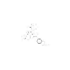 CCC(C(=O)C(C)(C(=O)NC(N)=O)C1CCC(=O)NC1=O)c1ccc2c(c1)CNC2